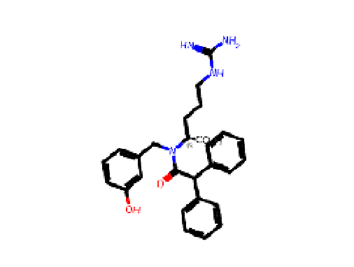 N=C(N)NCCC[C@@H](C(=O)O)N(Cc1cccc(O)c1)C(=O)C(c1ccccc1)c1ccccc1